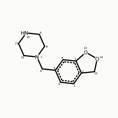 c1cc2c(cc1CN1CCNCC1)OOC2